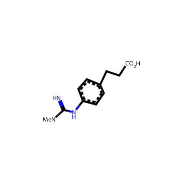 CNC(=N)Nc1ccc(CCC(=O)O)cc1